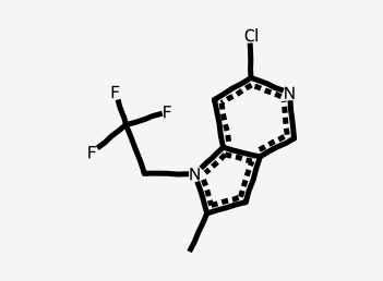 Cc1cc2cnc(Cl)cc2n1CC(F)(F)F